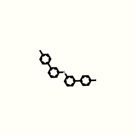 Cc1ccc(-c2cccc(Sc3cccc(-c4ccc(C)cc4)c3)c2)cc1